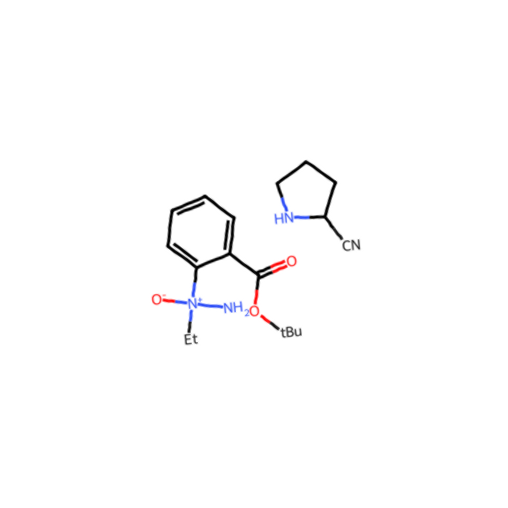 CC[N+](N)([O-])c1ccccc1C(=O)OC(C)(C)C.N#CC1CCCN1